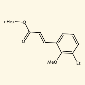 CCCCCCOC(=O)/C=C/c1cccc(CC)c1OC